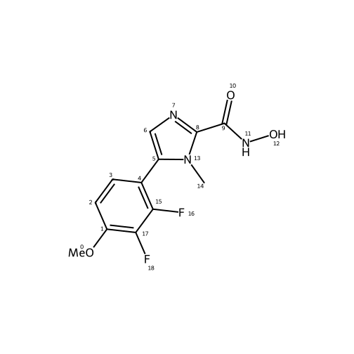 COc1ccc(-c2cnc(C(=O)NO)n2C)c(F)c1F